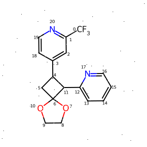 FC(F)(F)c1cc([C]2CC3(OCCO3)C2c2ccccn2)ccn1